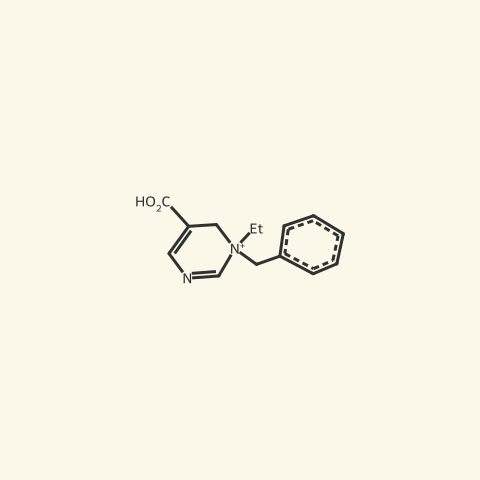 CC[N+]1(Cc2ccccc2)C=NC=C(C(=O)O)C1